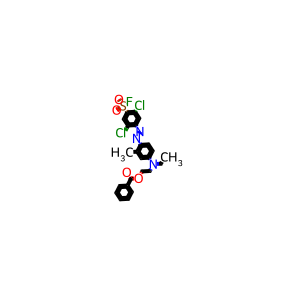 CCN(CCOC(=O)c1ccccc1)c1ccc(N=Nc2cc(Cl)c(S(=O)(=O)F)cc2Cl)c(C)c1